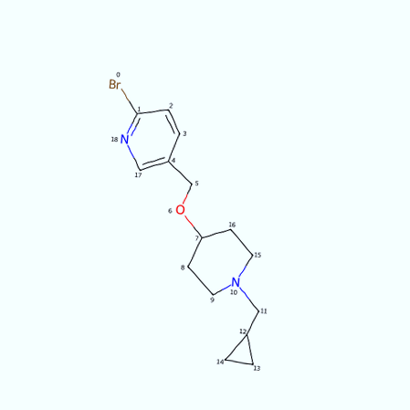 Brc1ccc(COC2CCN(CC3CC3)CC2)cn1